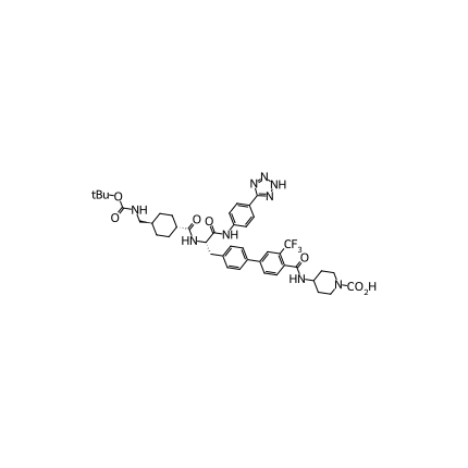 CC(C)(C)OC(=O)NC[C@H]1CC[C@H](C(=O)N[C@@H](Cc2ccc(-c3ccc(C(=O)NC4CCN(C(=O)O)CC4)c(C(F)(F)F)c3)cc2)C(=O)Nc2ccc(-c3nn[nH]n3)cc2)CC1